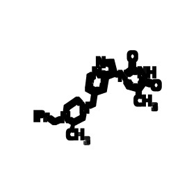 Cc1cn(-c2cnn3ccc(CN4CCN(CC(C)C)[C@@H](C)C4)cc23)c(=O)[nH]c1=O